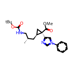 COC(=O)[C@]1(c2cn(-c3ccccc3)cn2)C[C@@H]1C[C@H](C)CNC(=O)OC(C)(C)C